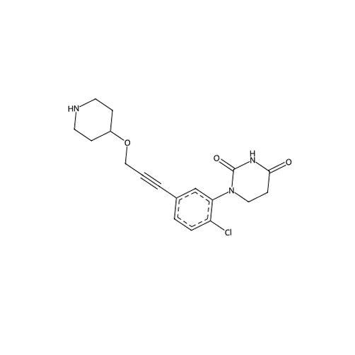 O=C1CCN(c2cc(C#CCOC3CCNCC3)ccc2Cl)C(=O)N1